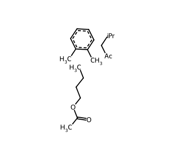 CC(=O)CC(C)C.CCCCOC(C)=O.Cc1ccccc1C